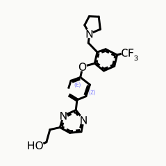 C=C(/C=C\C(=C/C)Oc1ccc(C(F)(F)F)cc1CN1CCCC1)c1nccc(CCO)n1